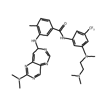 Cc1ccc(C(=O)Nc2cc(N(C)CCN(C)C)cc(C(F)(F)F)c2)cc1NC1C=c2nc(N(C)C)ncc2=NC=N1